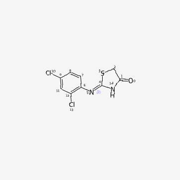 O=C1CS/C(=N\c2ccc(Cl)cc2Cl)N1